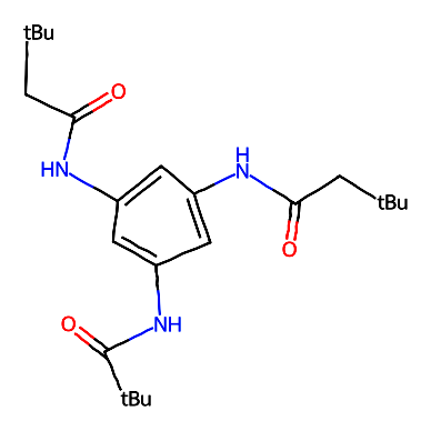 CC(C)(C)CC(=O)Nc1cc(NC(=O)CC(C)(C)C)cc(NC(=O)C(C)(C)C)c1